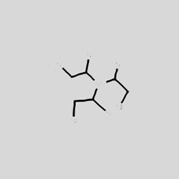 NC[CH](N)[Mo]([CH](N)CN)[CH](N)CN